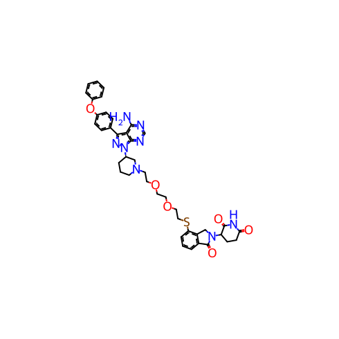 Nc1ncnc2c1c(-c1ccc(Oc3ccccc3)cc1)nn2[C@@H]1CCCN(CCOCCOCCSc2cccc3c2CN(C2CCC(=O)NC2=O)C3=O)C1